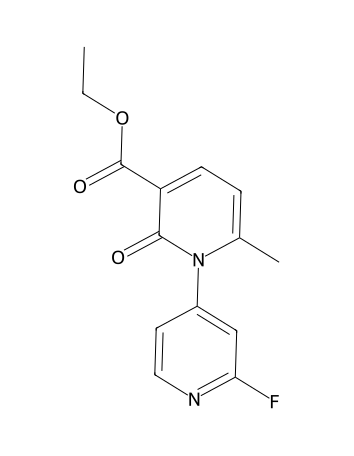 CCOC(=O)c1ccc(C)n(-c2ccnc(F)c2)c1=O